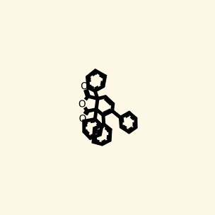 O=C1OC(=O)C2(c3ccccc3)C(c3ccccc3)=C(c3ccccc3)C=CC12c1ccccc1